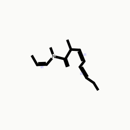 C=C(C(C)/C=C\C=C/CC)N(C)/C=C\C